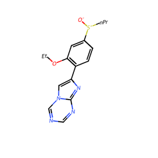 CCC[S+]([O-])c1ccc(-c2cn3cncnc3n2)c(OCC)c1